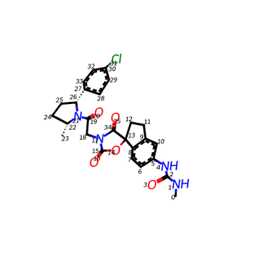 CNC(=O)Nc1ccc2c(c1)CCC21OC(=O)N(CC(=O)N2[C@H](C)CC[C@@H]2c2ccc(Cl)cc2)C1=O